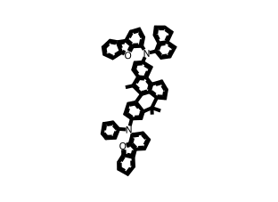 Cc1c2c3c(cccc3c3cc(N(c4cccc5ccccc45)c4cccc5c4oc4ccccc45)ccc13)C(C)(C)c1cc(N(c3ccccc3)c3cccc4c3oc3ccccc34)ccc1-2